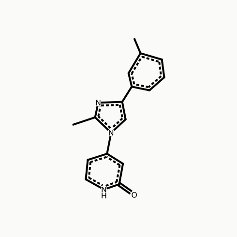 Cc1cccc(-c2cn(-c3cc[nH]c(=O)c3)c(C)n2)c1